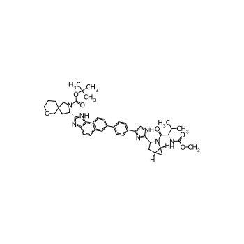 COC(=O)N[C@H](C(=O)N1[C@@H]2C[C@@H]2C[C@H]1c1nc(-c2ccc(-c3ccc4c(ccc5nc([C@@H]6C[C@@]7(CCCOC7)CN6C(=O)OC(C)(C)C)[nH]c54)c3)cc2)c[nH]1)C(C)C